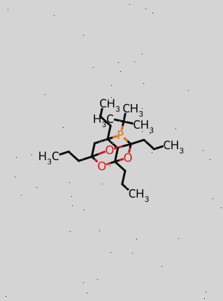 CCCC12CC3(CCC)CC(CCC)(O1)OC(CCC)(O2)P3C(C)(C)C